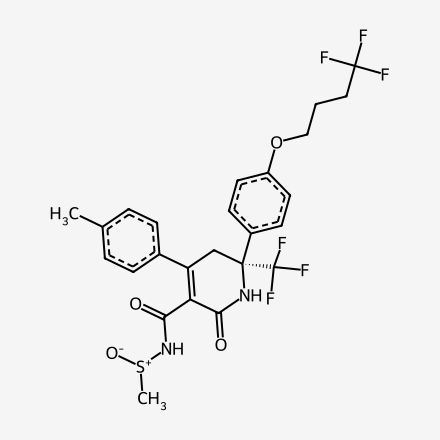 Cc1ccc(C2=C(C(=O)N[S+](C)[O-])C(=O)N[C@@](c3ccc(OCCCC(F)(F)F)cc3)(C(F)(F)F)C2)cc1